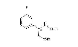 O=CC[C@H](NC(=O)O)c1cccc(F)c1